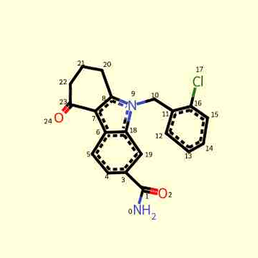 NC(=O)c1ccc2c3c(n(Cc4ccccc4Cl)c2c1)CCCC3=O